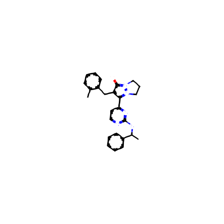 Cc1ccccc1Cc1c(-c2ccnc(NC(C)c3ccccc3)n2)n2n(c1=O)CCC2